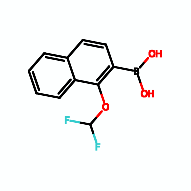 OB(O)c1ccc2ccccc2c1OC(F)F